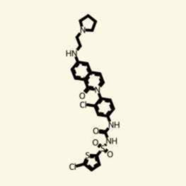 O=C(Nc1ccc(-n2ccc3cc(NCCN4CCCC4)ccc3c2=O)c(Cl)c1)NS(=O)(=O)c1ccc(Cl)s1